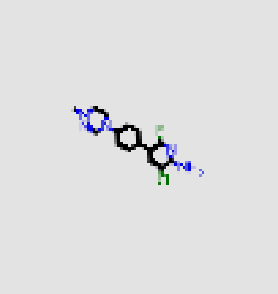 CN1CCN(c2ccc(-c3cc(Cl)c(N)nc3F)cc2)C=N1